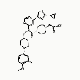 COc1ccc([C@H]2CC[C@H](CN(c3cc(-c4cnc(C5CC5)s4)ccn3)C(=O)[C@H]3CC[C@H](CC(=O)O)CC3)CC2)nc1C